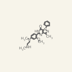 CNCCN(C)c1ccc(-c2nc3c(C)nn(-c4ccccc4)c3c(=O)[nH]2)c(OC)c1